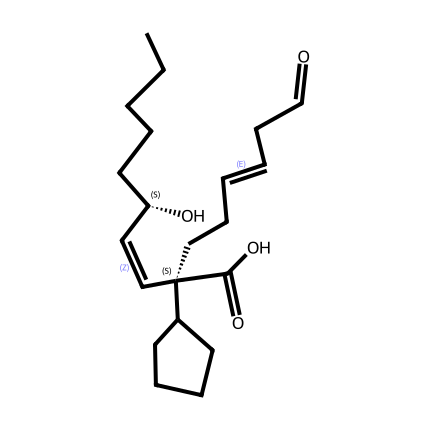 CCCCC[C@H](O)/C=C\[C@@](CC/C=C/CC=O)(C(=O)O)C1CCCC1